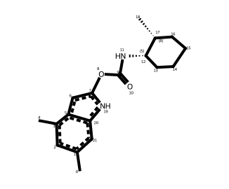 Cc1cc(C)c2cc(OC(=O)N[C@H]3CCCC[C@H]3C)[nH]c2c1